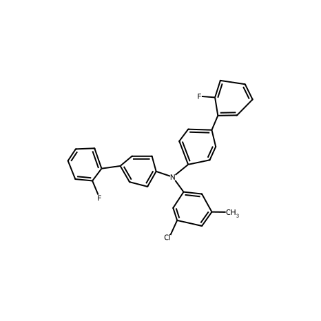 Cc1cc(Cl)cc(N(c2ccc(-c3ccccc3F)cc2)c2ccc(-c3ccccc3F)cc2)c1